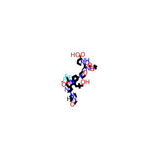 CO[C@@H](C)c1ncc(N2CCN3CCOC[C@@H]3C2)cc1-c1c(CC(C)(C)CO)c2cc(N3CCO[C@@H](C[C@H](NC(=O)OC(C)(C)C)C(=O)N4CCC[C@@H](C(=O)O)N4)C3)ccc2n1CC(F)(F)F